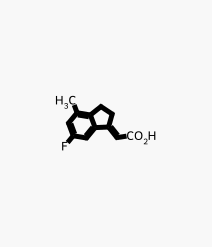 Cc1cc(F)cc2c1CCC2=CC(=O)O